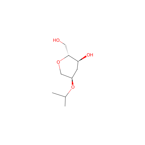 CC(C)O[C@H]1CO[C@H](CO)[C@@H](O)C1